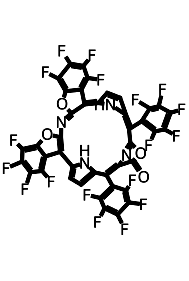 O=C1Oc2nc1c(-c1c(F)c(F)c(F)c(F)c1F)c1ccc([nH]1)c1c(nc3oc4c(F)c(F)c(F)c(F)c4c3c3ccc([nH]3)c2-c2c(F)c(F)c(F)c(F)c2F)oc2c(F)c(F)c(F)c(F)c21